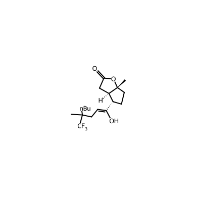 CCCCC(C)(CC=C(O)[C@H]1CC[C@@]2(C)OC(=O)C[C@H]12)C(F)(F)F